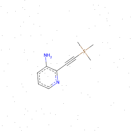 CS(C)(C)C#Cc1ncccc1N